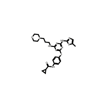 Cc1cnc(Nc2nc(NCCCN3CCOCC3)nc(Sc3ccc(NC(=O)C4CC4)cc3)n2)s1